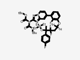 [2H]C([2H])(CC(F)(F)C(C)(O[Si](CC)(CC)CC)c1ccc(F)cc1)Oc1cccc(-c2ccn3nc(N(C(=O)OC(C)(C)C)C(=O)OC(C)(C)C)nc3c2)c1F